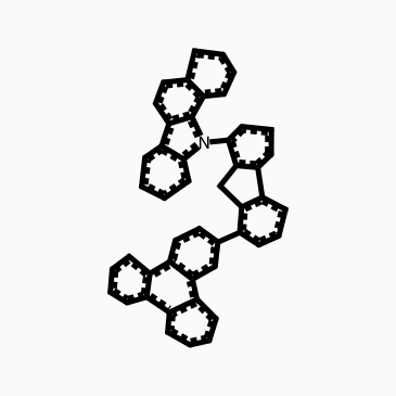 c1cc(-c2ccc3c4ccccc4c4ccccc4c3c2)c2c(c1)-c1cccc(-n3c4ccccc4c4ccc5ccccc5c43)c1C2